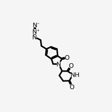 [N-]=[N+]=NCCc1ccc2c(c1)CN(C1CCC(=O)NC1=O)C2=O